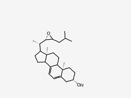 CC(C)CC1O[C@H]1[C@@H](C)C1CCC2C3=CC=C4C[C@@H](O)CC[C@]4(C)C3CC[C@@]21C